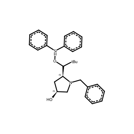 CC(C)(C)C(O[SiH](c1ccccc1)c1ccccc1)[C@@H]1C[C@H](O)CN1Cc1ccccc1